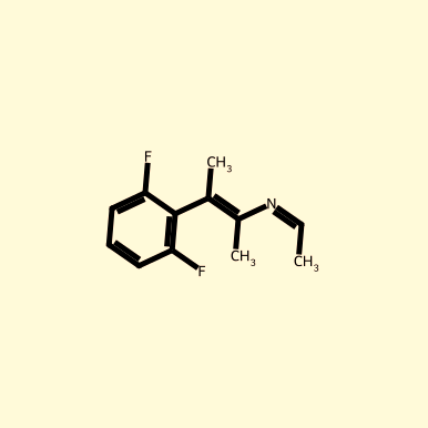 C/C=N\C(C)=C(/C)c1c(F)cccc1F